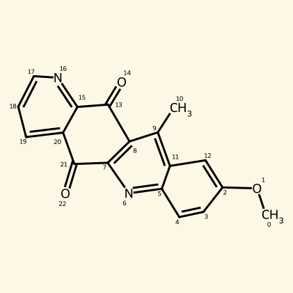 COc1ccc2nc3c(c(C)c2c1)C(=O)c1ncccc1C3=O